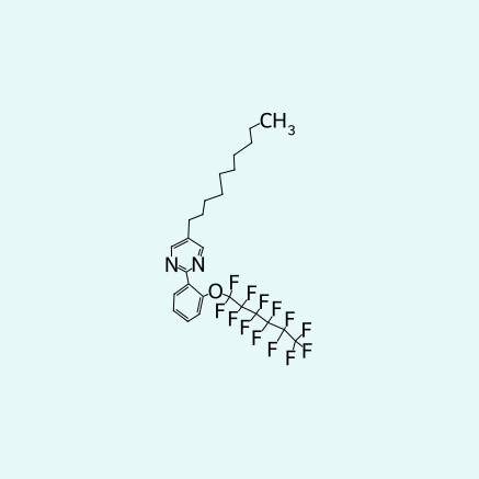 CCCCCCCCCCc1cnc(-c2ccccc2OC(F)(F)C(F)(F)C(F)(F)C(F)(F)C(F)(F)C(F)(F)F)nc1